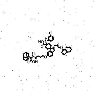 C[C@@H](COc1ccnc2c1[C@H](C)CCC2)C[C@H]1Cc2ccc(OCCCC(=O)N[C@@H](C(=O)O)C34CC5CC(CC(C5)C3)C4)cc2C12CCC(Nc1cccc(Cl)c1)(C(=O)O)CC2